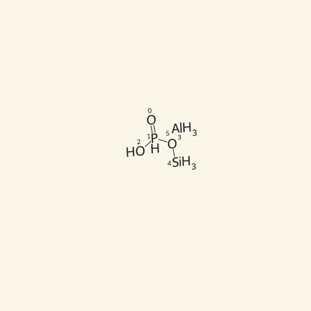 O=[PH](O)O[SiH3].[AlH3]